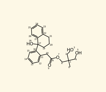 CC(CO)(CO)COC(=O)Cc1ccccc1C1(O)CCCc2ccccc21